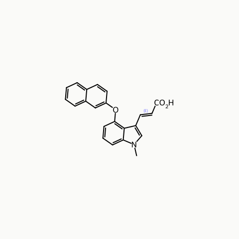 Cn1cc(/C=C/C(=O)O)c2c(Oc3ccc4ccccc4c3)cccc21